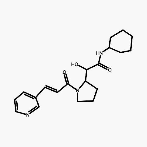 O=C(NC1CCCCC1)C(O)C1CCCN1C(=O)C=Cc1cccnc1